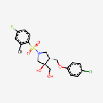 N#Cc1cc(F)ccc1S(=O)(=O)N1C[C@H](COc2ccc(Cl)cc2)[C@](O)(CO)C1